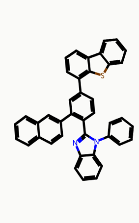 c1ccc(-n2c(-c3ccc(-c4cccc5c4sc4ccccc45)cc3-c3ccc4ccccc4c3)nc3ccccc32)cc1